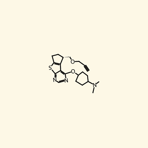 C#CCOC[C@H]1CCc2sc3ncnc(OC4CCC(N(C)C)CC4)c3c21